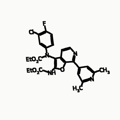 CCOC(=O)Nc1oc2c(-c3cc(C)nc(C)c3)nccc2c1N(C(=O)OCC)c1ccc(F)c(Cl)c1